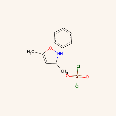 CC1=CC(C)NO1.O=S(=O)(Cl)Cl.c1ccccc1